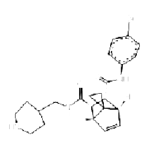 O=C(NCC1CCNCC1)[C@H]1[C@H](C(=O)Nc2ccc(Br)cc2)[C@@H]2C=C[C@H]1C21CC1